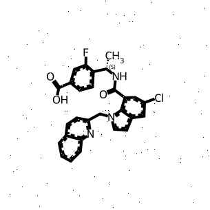 C[C@H](NC(=O)c1cc(Cl)cc2ccn(Cc3ccc4ccccc4n3)c12)c1ccc(C(=O)O)cc1F